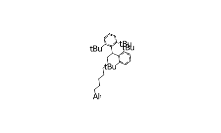 CC(C)(C)c1cccc(C(C)(C)C)c1C(CCCCCC[CH2][Al])c1c(C(C)(C)C)cccc1C(C)(C)C